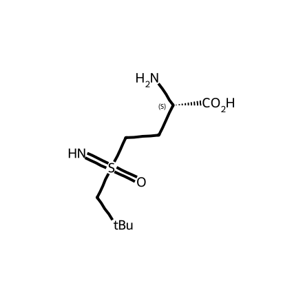 CC(C)(C)CS(=N)(=O)CC[C@H](N)C(=O)O